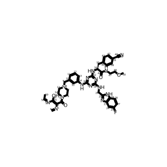 C=N/C(C(=O)N1CCN(Cc2cccc(Nc3nc(NCc4nc5cc(F)ccc5[nH]4)nc(N[C@@H](Cc4ccc(C#N)cc4)C(=O)NCCOC)n3)c2)CC1)=C(O)\N=C/C